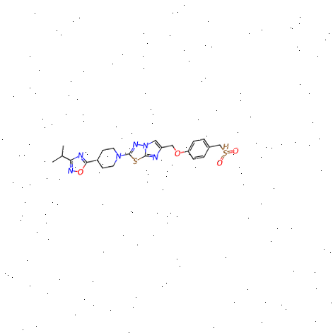 CC(C)c1noc(C2CCN(c3nn4cc(COc5ccc(C[SH](=O)=O)cc5)nc4s3)CC2)n1